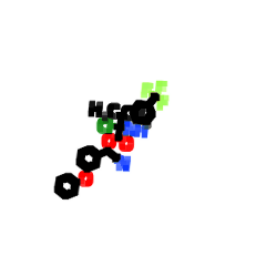 CC(C)C(Cl)(Nc1ccc(C(F)(F)F)cc1)C(=O)OC(C#N)c1cccc(Oc2ccccc2)c1